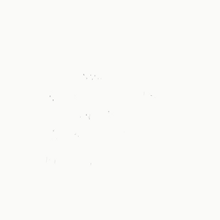 [CH2]NC(=N)N(C(=O)OC(C)(C)C)C(=O)OC(C)(C)C